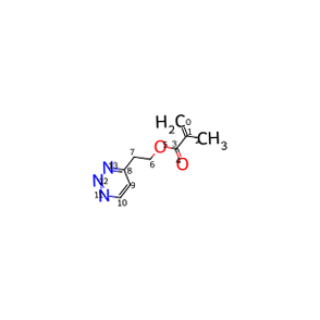 C=C(C)C(=O)OCCc1ccnnn1